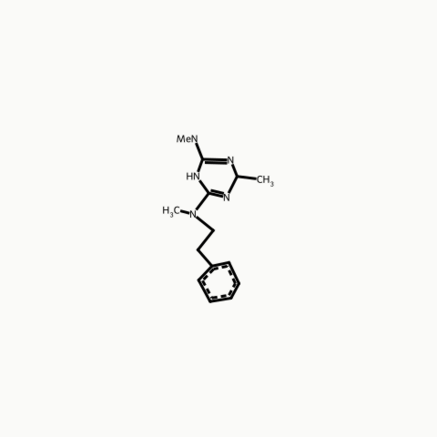 CNC1=NC(C)N=C(N(C)CCc2ccccc2)N1